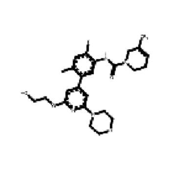 Cc1cc(F)c(NC(=O)N2CCC=C(C(F)(F)F)C2)cc1-c1cc(OCCO)nc(N2CCOCC2)c1